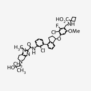 COc1cc(OC2CCc3c(-c4cccc(NC(=O)c5nc6c(n5C)CCN(CC(C)(C)O)C6)c4Cl)cccc32)c(Cl)c(F)c1CNC1(C(=O)O)CCC1